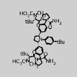 CN(C(=O)O)[C@H](C(=O)N1CCC[C@@]1(C(N)=O)c1ccc([C@@H]2CC[C@@H](c3ccc([C@]4(C(N)=O)CCCN4C(=O)[C@@H](N(C)C(=O)O)C(C)(C)C)cc3)N2c2ccc(C(C)(C)C)cc2)cc1)C(C)(C)C